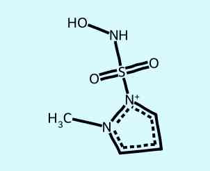 Cn1ccc[n+]1S(=O)(=O)NO